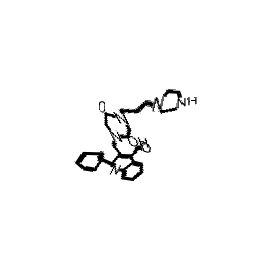 O=C(O)c1c(CN2CCN(CCCN3CCNCC3)C(=O)C2)c(-c2ccccc2)nc2ccccc12